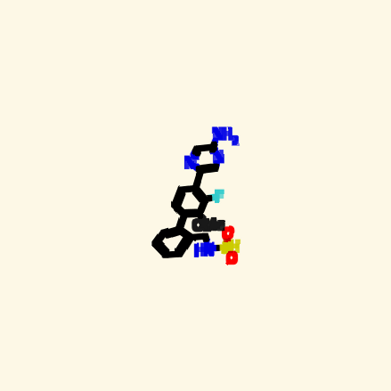 COc1c(-c2ccccc2CN[SH](=O)=O)ccc(-c2cnc(N)cn2)c1F